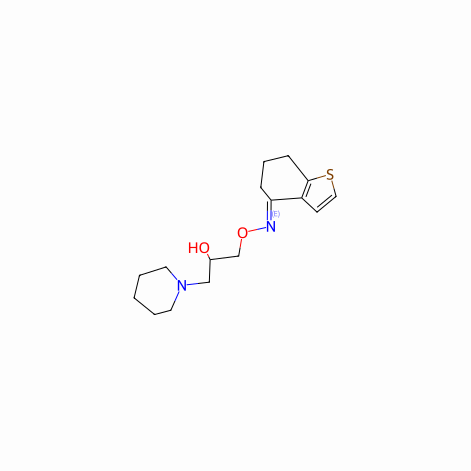 OC(CO/N=C1\CCCc2sccc21)CN1CCCCC1